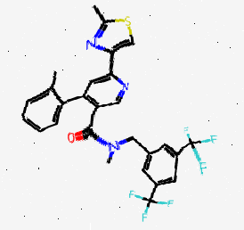 Cc1nc(-c2cc(-c3ccccc3C)c(C(=O)N(C)Cc3cc(C(F)(F)F)cc(C(F)(F)F)c3)cn2)cs1